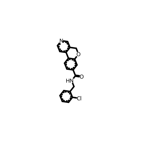 O=C(NCc1ccccc1Cl)c1ccc2c(c1)OCc1cnccc1-2